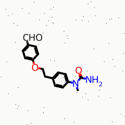 CN(C(N)=O)c1ccc(CCOc2ccc(C=O)cc2)cc1